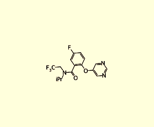 CC(C)N(CC(F)(F)F)C(=O)c1cc(F)ccc1Oc1cncnc1